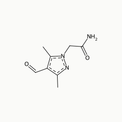 Cc1nn(CC(N)=O)c(C)c1C=O